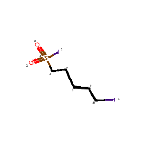 O=S(=O)(I)CCCCCI